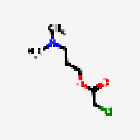 CN(C)CCCOC(=O)CCl